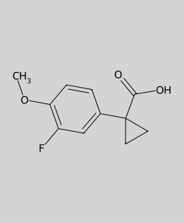 COc1ccc(C2(C(=O)O)CC2)cc1F